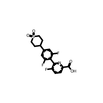 O=C(O)c1ccc(F)c(-c2c(F)cc(C3CCS(=O)(=O)CC3)cc2F)n1